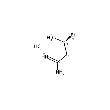 CC[C@H](C)CC(=N)N.Cl